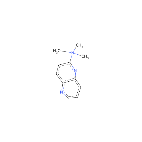 C[N+](C)(C)c1ccc2ncccc2n1